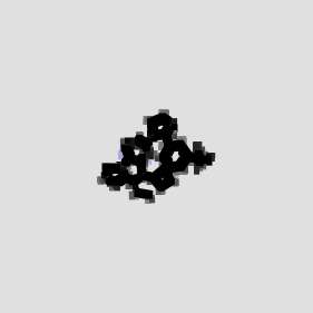 C=C(/N=C1\C(=C/N)n2cnnc2[C@@H](CC)N1C1CCC1)n1ccnc1-c1cc(F)cc(C(F)(F)F)c1